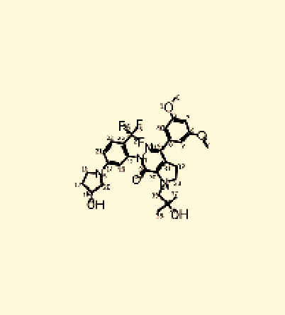 COc1cc(OC)cc(-c2nn(-c3cc(N4CC[C@H](O)C4)ccc3C(F)(F)F)c(=O)c3c2CCN3CC(C)(C)O)c1